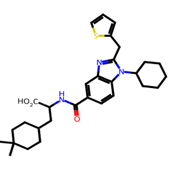 CC1(C)CCC(CC(NC(=O)c2ccc3c(c2)nc(Cc2cccs2)n3C2CCCCC2)C(=O)O)CC1